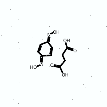 O=C(O)CCC(=O)O.ON=C1C=CC(=NO)C=C1